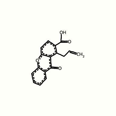 C=CCc1c(C(=O)O)ccc2oc3ccccc3c(=O)c12